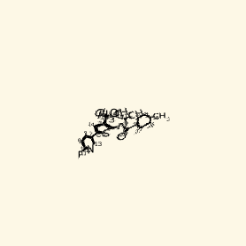 CC(C)N(c1sc(-c2ccc(F)nc2)cc1C(=O)O)C(=O)[C@H]1CC[C@H](C)CC1